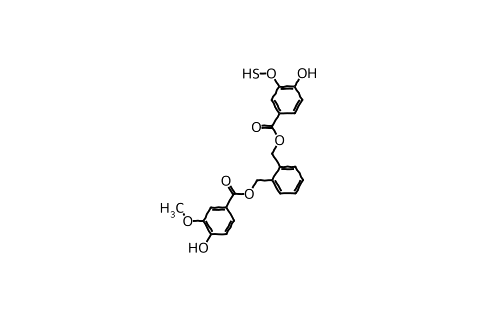 COc1cc(C(=O)OCc2ccccc2COC(=O)c2ccc(O)c(OS)c2)ccc1O